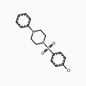 O=S(=O)(c1ccc(Cl)cc1)N1CCN(c2ccccc2)CC1